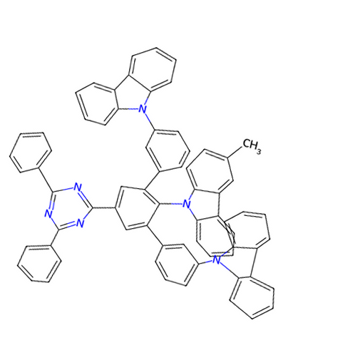 Cc1ccc2c(c1)c1ccccc1n2-c1c(-c2cccc(-n3c4ccccc4c4ccccc43)c2)cc(-c2nc(-c3ccccc3)nc(-c3ccccc3)n2)cc1-c1cccc(-n2c3ccccc3c3ccccc32)c1